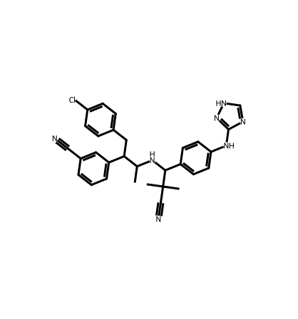 CC(NC(c1ccc(Nc2nc[nH]n2)cc1)C(C)(C)C#N)C(Cc1ccc(Cl)cc1)c1cccc(C#N)c1